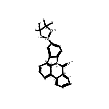 CC1(C)OB(c2ccc3c(c2)c2cccc4c5ccccc5c(=O)n3c42)OC1(C)C